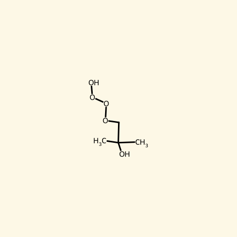 CC(C)(O)COOOO